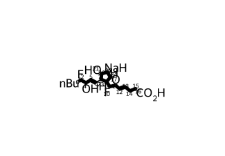 CCCCC(F)[C@H](O)/C=C/[C@@H]1[C@H]2C(F)C(/C=C/CCC(=O)O)O[C@H]2C[C@H]1O.[NaH]